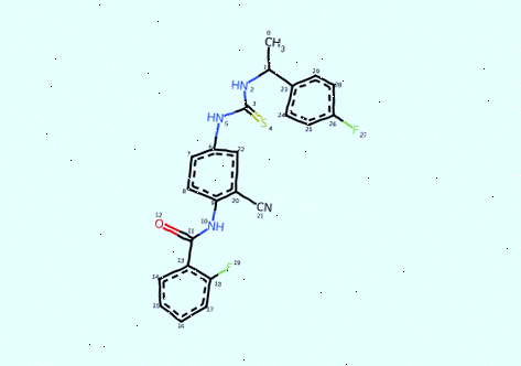 CC(NC(=S)Nc1ccc(NC(=O)c2ccccc2F)c(C#N)c1)c1ccc(F)cc1